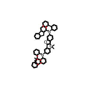 CC1(C)c2ccccc2-c2cccc(N(c3ccc4c(c3)-c3oc5cc(N(c6ccccc6-c6ccccc6)c6cccc7c6Cc6ccccc6-7)ccc5c3[Si]4(C)C)c3ccccc3-c3ccccc3)c21